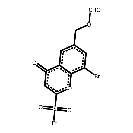 CCS(=O)(=O)c1cc(=O)c2cc(COC=O)cc(Br)c2o1